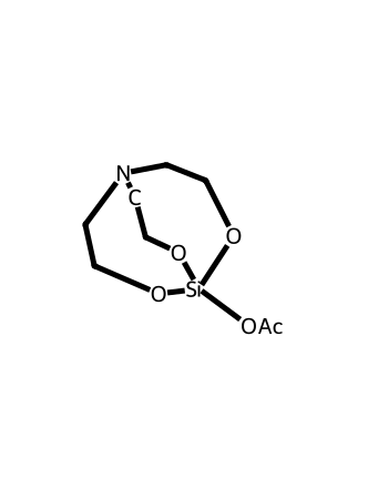 CC(=O)O[Si]12OCCN(CCO1)CCO2